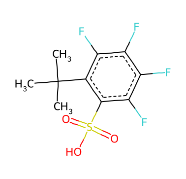 CC(C)(C)c1c(F)c(F)c(F)c(F)c1S(=O)(=O)O